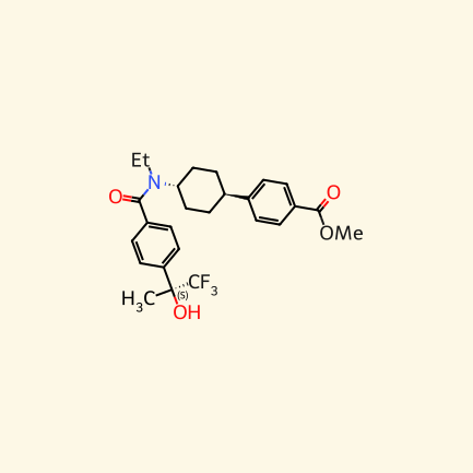 CCN(C(=O)c1ccc([C@](C)(O)C(F)(F)F)cc1)[C@H]1CC[C@H](c2ccc(C(=O)OC)cc2)CC1